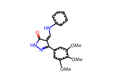 COc1cc(C2=NNC(=O)/C2=C\Nc2ccccc2)cc(OC)c1OC